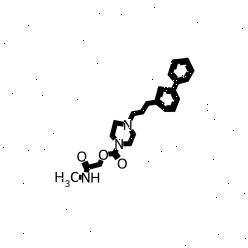 CNC(=O)COC(=O)N1CCN(CCCc2cccc(-c3ccccc3)c2)CC1